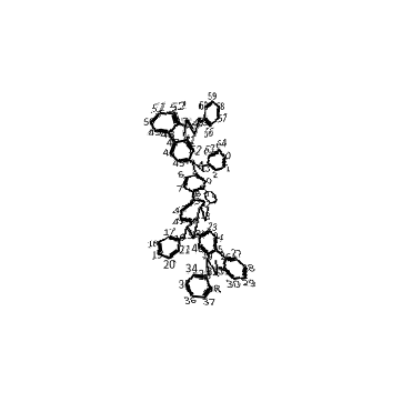 c1ccc(N(c2ccc3c(c2)oc2nc(N(c4ccccc4)c4ccc5c6ccccc6n(-c6ccccc6)c5c4)ccc23)c2ccc3c4ccccc4n(-c4ccccc4)c3c2)cc1